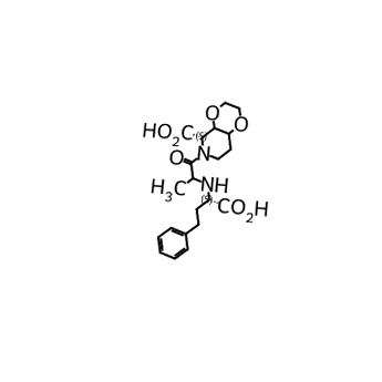 CC(N[C@@H](CCc1ccccc1)C(=O)O)C(=O)N1CCC2OCCOC2[C@H]1C(=O)O